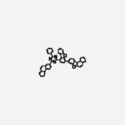 c1ccc(-c2nc(-c3ccc4c(ccc5ccccc54)c3)nc(-c3ccc(-c4ccc5c(c4)oc4ccc6ccccc6c45)c4oc5ccccc5c34)n2)cc1